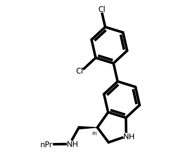 CCCNC[C@@H]1CNc2ccc(-c3ccc(Cl)cc3Cl)cc21